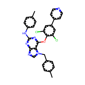 Cc1ccc(Cn2cnc3nc(Nc4ccc(C)cc4)nc(Oc4c(Cl)cc(-c5ccncc5)cc4Cl)c32)cc1